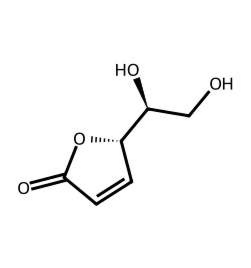 O=C1C=C[C@@H]([C@@H](O)CO)O1